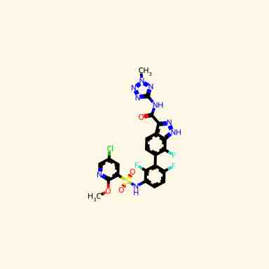 COc1ncc(Cl)cc1S(=O)(=O)Nc1ccc(F)c(-c2ccc3c(C(=O)Nc4nnn(C)n4)n[nH]c3c2F)c1F